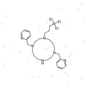 CC[N+](CC)(CC)CCCN1CCCN(Cc2ccccn2)CCNCCCN(Cc2ccccn2)CC1